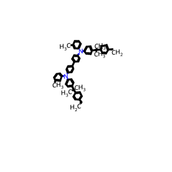 C=Cc1ccc(C(C)(C)c2ccc(N(c3ccc(-c4ccc(N(c5ccc(C(C)(C)c6ccc(C=C)cc6)cc5)c5cccc(C)c5)cc4)cc3)c3cccc(C)c3)cc2)cc1